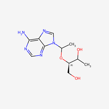 CC(O)[C@@H](CO)OC(C)n1cnc2c(N)ncnc21